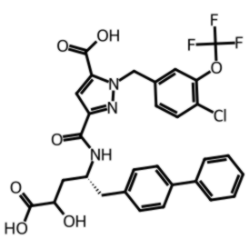 O=C(N[C@H](Cc1ccc(-c2ccccc2)cc1)CC(O)C(=O)O)c1cc(C(=O)O)n(Cc2ccc(Cl)c(OC(F)(F)F)c2)n1